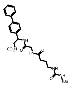 CC(C)(C)NC(=O)NCCCC(=O)NCC(=O)NC(CC(=O)O)c1ccc(-c2ccccc2)cc1